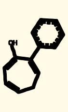 OC1=CC=CCC=C1c1ccccc1